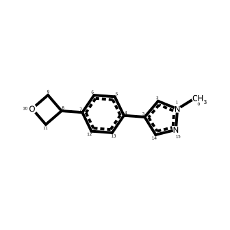 Cn1cc(-c2ccc(C3COC3)cc2)cn1